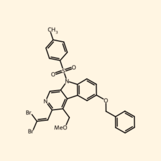 COCc1c(C=C(Br)Br)ncc2c1c1cc(OCc3ccccc3)ccc1n2S(=O)(=O)c1ccc(C)cc1